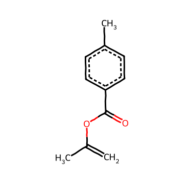 C=C(C)OC(=O)c1ccc(C)cc1